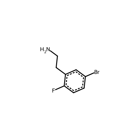 NCCc1cc(Br)ccc1F